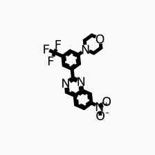 O=[N+]([O-])c1ccc2cnc(-c3cc(N4CCOCC4)cc(C(F)(F)F)c3)nc2c1